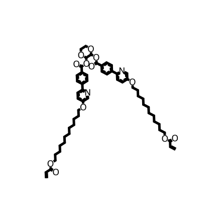 C=CC(=O)OCCCCCCCCCCCCOc1ccc(-c2ccc(C(=O)OC3OCCOC3OC(=O)c3ccc(-c4ccc(OCCCCCCCCCCCCOC(=O)C=C)cn4)cc3)cc2)nc1